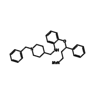 CNCCC(Oc1ccccc1NCC1CCN(Cc2ccccc2)CC1)c1ccccc1